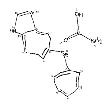 NC(=O)O.c1ccc([Se]c2ccc3[nH]cnc3c2)cc1